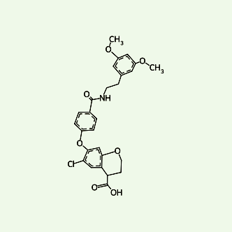 COc1cc(CCNC(=O)c2ccc(Oc3cc4c(cc3Cl)C(C(=O)O)CCO4)cc2)cc(OC)c1